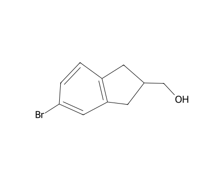 OCC1Cc2ccc(Br)cc2C1